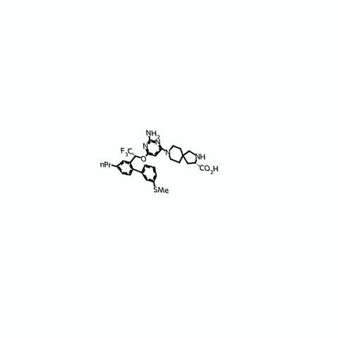 CCCc1ccc(-c2cccc(SC)c2)c([C@@H](Oc2cc(N3CCC4(CC3)CN[C@H](C(=O)O)C4)nc(N)n2)C(F)(F)F)c1